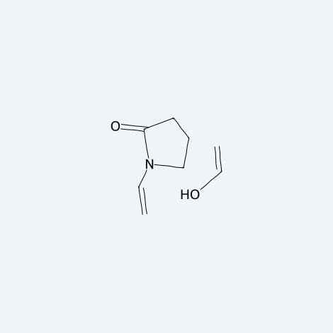 C=CN1CCCC1=O.C=CO